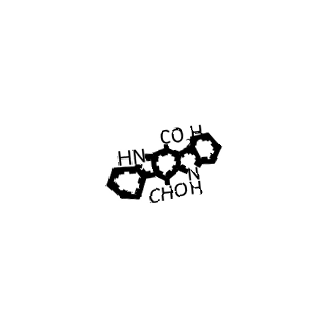 O=Cc1c2[nH]c3ccccc3c2c(C(=O)O)c2[nH]c3ccccc3c12